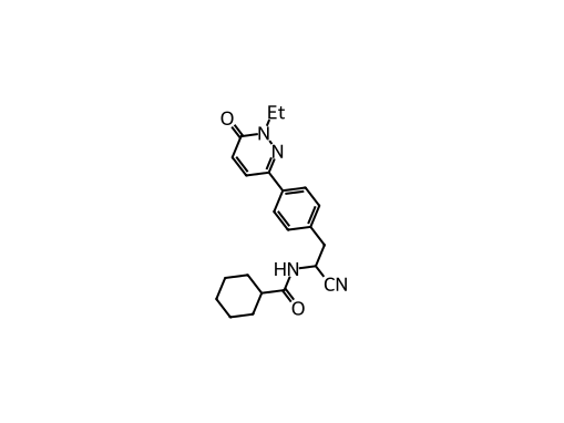 CCn1nc(-c2ccc(CC(C#N)NC(=O)C3CCCCC3)cc2)ccc1=O